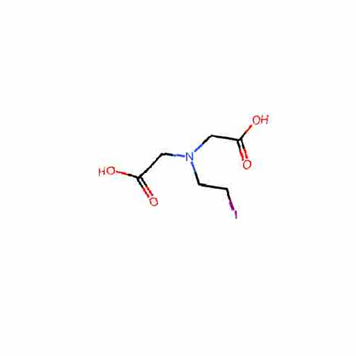 O=C(O)CN(CCI)CC(=O)O